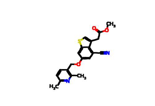 COC(=O)Cc1csc2cc(OCc3ccc(C)nc3C)cc(C#N)c12